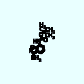 CC(C)(C)OC(=O)Nc1cccc2c(N)noc12